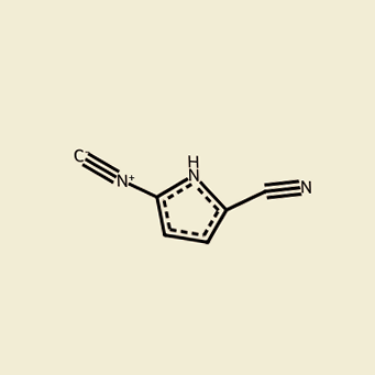 [C-]#[N+]c1ccc(C#N)[nH]1